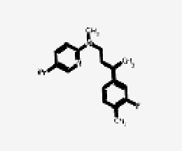 Cc1ccc(C(C)CCN(C)c2ccc(C(C)C)cn2)cc1F